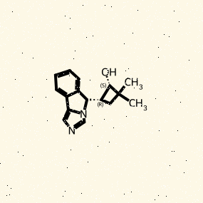 CC1(C)C[C@H](C2c3ccccc3-c3cncn32)[C@@H]1O